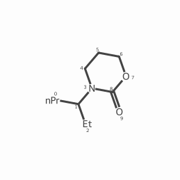 CCCC(CC)N1CCCOC1=O